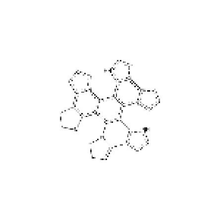 C1=C2c3cc[nH]c3-c3c(c4c5c(c6cccn6c4c4c6[nH]ccc6c6cccn6c34)CCN5)N2CC1